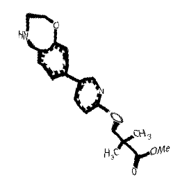 COC(=O)C(C)(C)COc1ccc(-c2ccc3c(c2)OCCN3)cn1